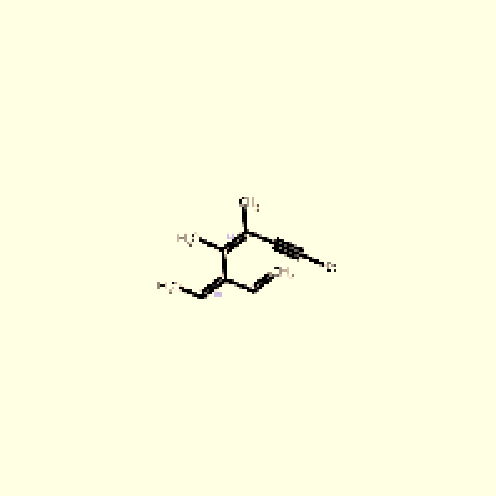 C=CC(=C/C)/C(C)=C(/C)C#CCC